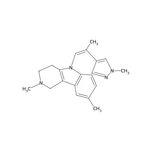 C/C(=C/n1c2c(c3cc(C)ccc31)CN(C)CC2)c1cnn(C)c1